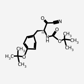 CC(C)(C)OC(=O)N[C@@H](Cc1ccc(OC(C)(C)C)cc1)C(=O)C#N